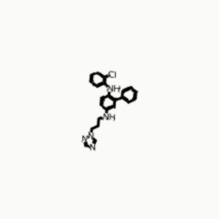 Clc1ccccc1Nc1ccc(NCCCn2cncn2)cc1-c1ccccc1